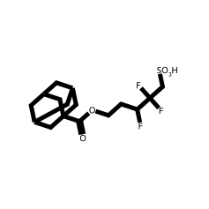 O=C(OCCC(F)C(F)(F)CS(=O)(=O)O)C12CC3CC(CC(C3)C1)C2